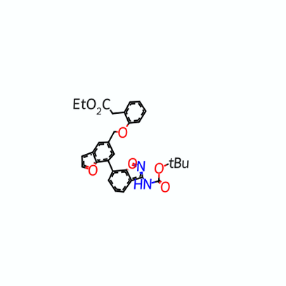 CCOC(=O)Cc1ccccc1OCc1cc(-c2cccc3c(NC(=O)OC(C)(C)C)noc23)c2occc2c1